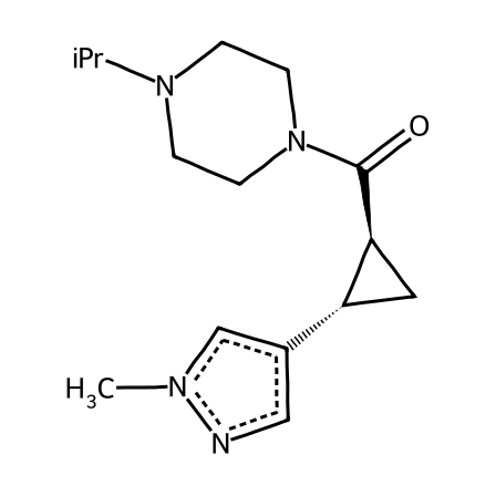 CC(C)N1CCN(C(=O)[C@H]2C[C@@H]2c2cnn(C)c2)CC1